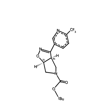 CC(C)(C)OC(=O)N1C[C@@H]2C(c3ccc(C(F)(F)F)nc3)=NO[C@@H]2C1